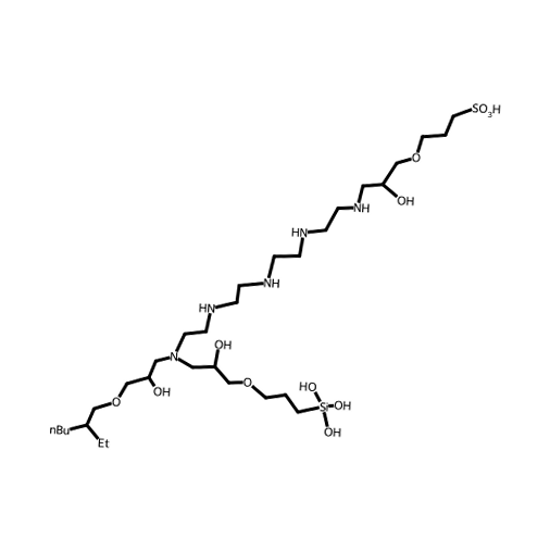 CCCCC(CC)COCC(O)CN(CCNCCNCCNCCNCC(O)COCCCS(=O)(=O)O)CC(O)COCCC[Si](O)(O)O